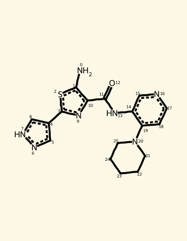 Nc1sc(-c2cn[nH]c2)nc1C(=O)Nc1cnccc1N1CCCCC1